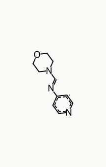 [c]1cnccc1/N=C/N1CCOCC1